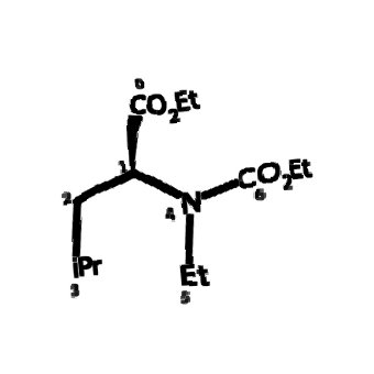 CCOC(=O)[C@H](CC(C)C)N(CC)C(=O)OCC